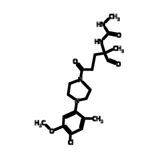 CNC(=O)NC(C)(C=O)CCC(=O)N1CCN(c2cc(OC)c(Cl)cc2C)CC1